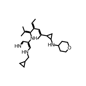 C/C=C(\C=C(/C)C1CC1NC1CCOCC1)C(N/C(C=N)=C/NCC1CC1)=C(C)C